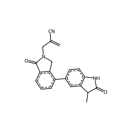 C=C(C#N)CN1Cc2c(cccc2-c2ccc3c(c2)C(C)C(=O)N3)C1=O